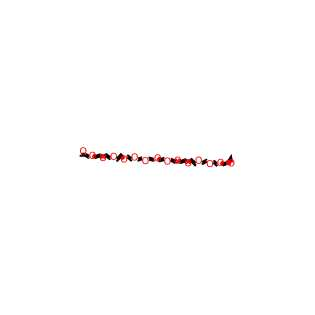 C(COCCOCCOCCOCCOCCOCC1CO1)OCCOCCOCCOCCOCCOCCOCC1CO1